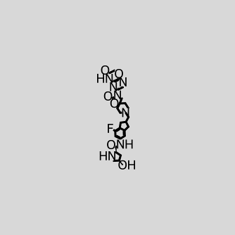 O=C1COc2ncc(N3CC4(CCN(CC5Cc6cc(NC(=O)[C@H]7C[C@@H](O)CN7)cc(F)c6C5)CC4)OC3=O)nc2N1